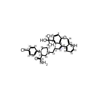 CC(C)(O)c1ccc2c(c1)/C(=C\CCN1CCN(c3ccc(Cl)cc3)C(C(N)=O)C1)C1=CC=CNC1=CO2